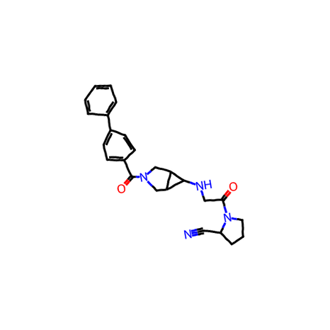 N#CC1CCCN1C(=O)CNC1C2CN(C(=O)c3ccc(-c4ccccc4)cc3)CC21